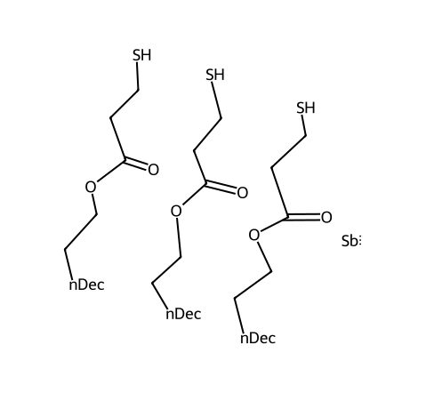 CCCCCCCCCCCCOC(=O)CCS.CCCCCCCCCCCCOC(=O)CCS.CCCCCCCCCCCCOC(=O)CCS.[Sb]